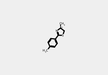 Cc1ccc(C2=N[C@@H](C)CS2)cc1